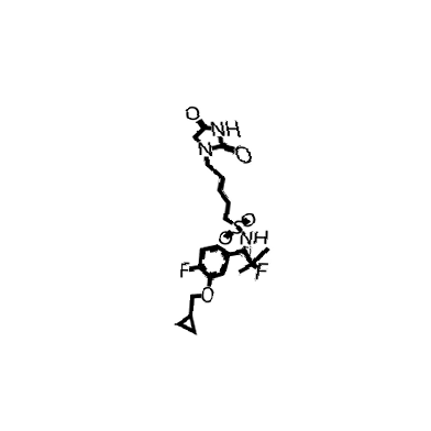 CC(C)(F)[C@@H](NS(=O)(=O)CCCCCN1CC(=O)NC1=O)c1ccc(F)c(OCC2CC2)c1